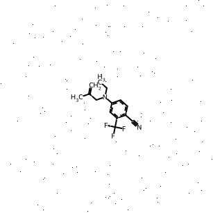 C=C(C)CN(CC)c1ccc(C#N)c(C(F)(F)F)c1